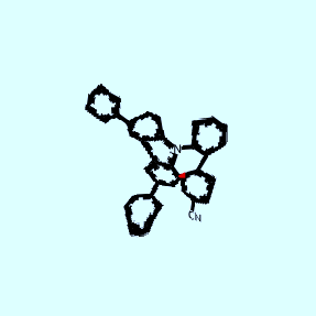 N#Cc1ccc(-c2ccccc2-n2c3ccc(-c4ccccc4)cc3c3cc(-c4ccccc4)ccc32)cc1